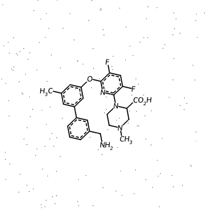 Cc1cc(Oc2nc(N3CCN(C)CC3C(=O)O)c(F)cc2F)cc(-c2cccc(CN)c2)c1